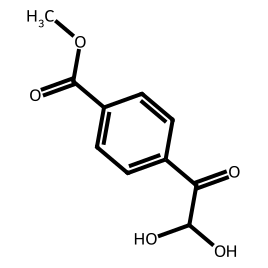 COC(=O)c1ccc(C(=O)C(O)O)cc1